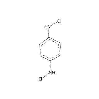 ClNc1ccc(NCl)cc1